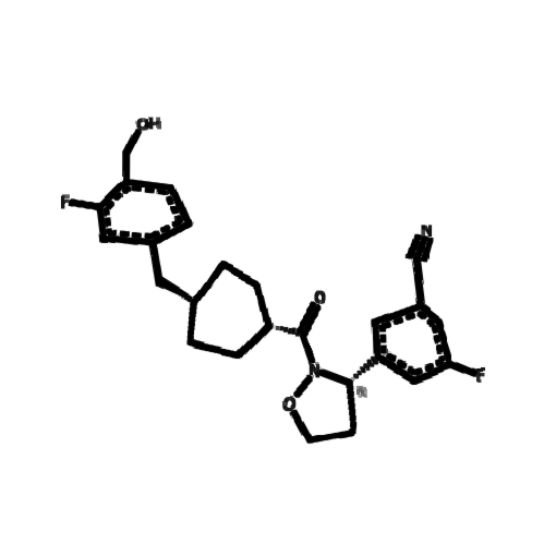 N#Cc1cc(F)cc([C@@H]2CCON2C(=O)[C@H]2CC[C@H](Cc3ccc(CO)c(F)c3)CC2)c1